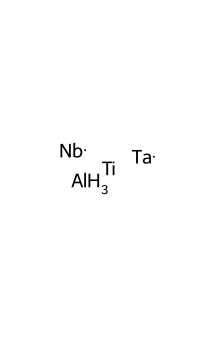 [AlH3].[Nb].[Ta].[Ti]